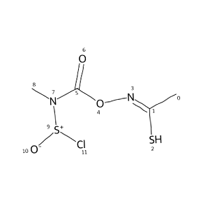 CC(S)=NOC(=O)N(C)[S+]([O-])Cl